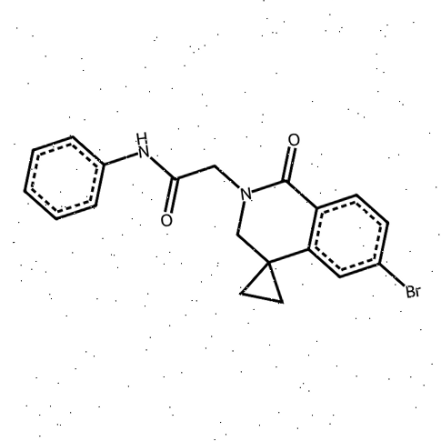 O=C(CN1CC2(CC2)c2cc(Br)ccc2C1=O)Nc1ccccc1